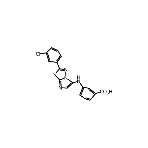 O=C(O)c1cccc(Nc2cnc3sc(-c4cccc(Cl)c4)nn23)c1